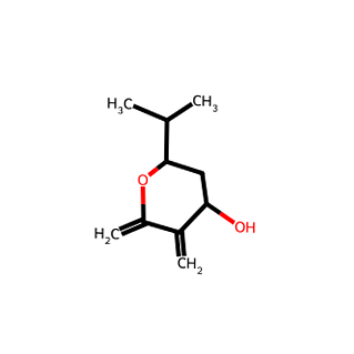 C=C1OC(C(C)C)CC(O)C1=C